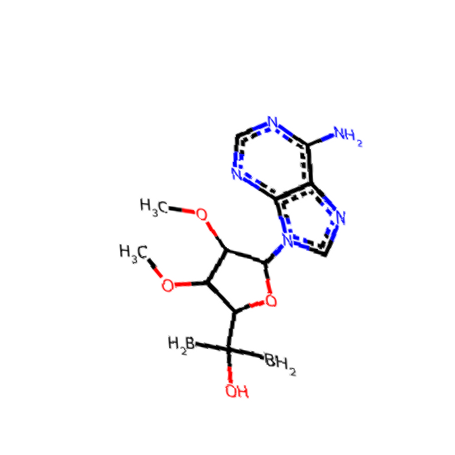 BC(B)(O)C1OC(n2cnc3c(N)ncnc32)C(OC)C1OC